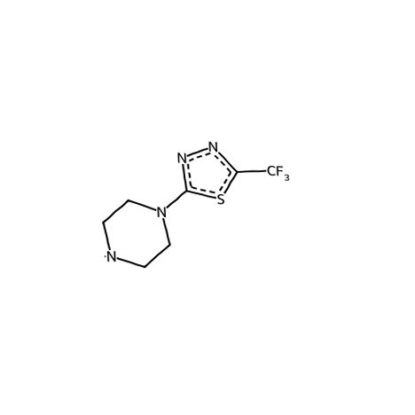 FC(F)(F)c1nnc(N2CC[N]CC2)s1